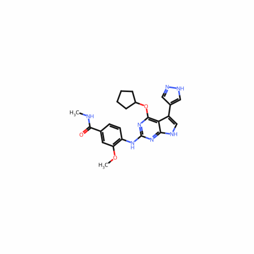 CNC(=O)c1ccc(Nc2nc(OC3CCCC3)c3c(-c4cn[nH]c4)c[nH]c3n2)c(OC)c1